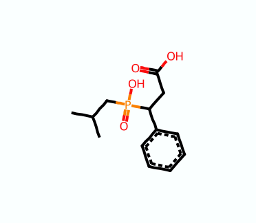 CC(C)CP(=O)(O)C(CC(=O)O)c1ccccc1